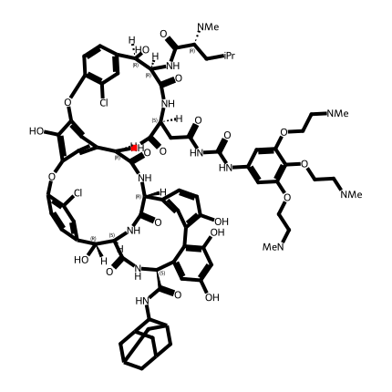 CNCCOc1cc(NC(=O)NC(=O)C[C@@H]2NC(=O)[C@H](NC(=O)[C@@H](CC(C)C)NC)[C@H](O)c3ccc(c(Cl)c3)Oc3cc4cc(c3O)Oc3ccc(cc3Cl)[C@@H](O)[C@@H]3NC(=O)[C@H](NC(=O)[C@@H]4NC2=O)c2ccc(O)c(c2)-c2c(O)cc(O)cc2[C@@H](C(=O)NC2C4CC5CC(C4)CC2C5)NC3=O)cc(OCCNC)c1OCCNC